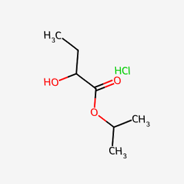 CCC(O)C(=O)OC(C)C.Cl